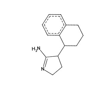 NC1=NCCC1C1CCCc2ccccc21